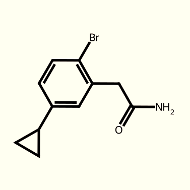 NC(=O)Cc1cc(C2CC2)ccc1Br